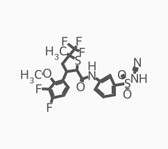 COc1c(C2CC(C)(C(F)(F)F)SC2C(=O)Nc2cccc(S(=O)(=O)NC#N)c2)ccc(F)c1F